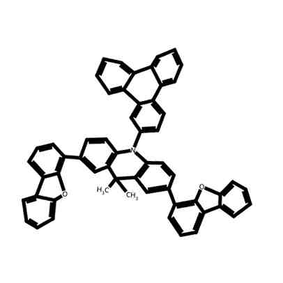 CC1(C)c2cc(-c3cccc4c3oc3ccccc34)ccc2N(c2ccc3c4ccccc4c4ccccc4c3c2)c2ccc(-c3cccc4c3oc3ccccc34)cc21